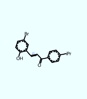 CC(C)c1ccc(C(=O)/C=C/c2cc(Br)ccc2O)cc1